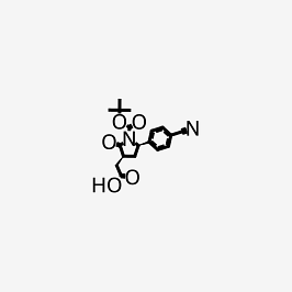 CC(C)(C)OC(=O)N1C(=O)[C@H](CC(=O)O)C[C@@H]1c1ccc(C#N)cc1